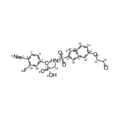 N#Cc1ccc(OP(=O)(O)CNS(=O)(=O)c2cc3cc(OCCCl)ccc3s2)cc1F